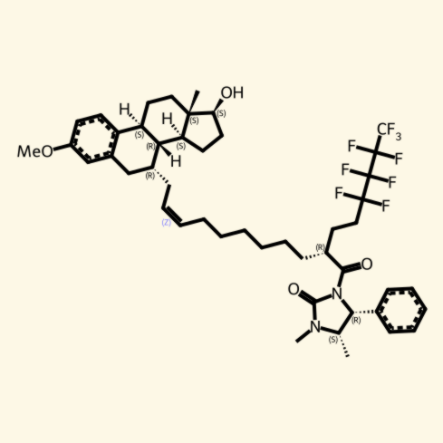 COc1ccc2c(c1)C[C@@H](C/C=C\CCCCCC[C@H](CCC(F)(F)C(F)(F)C(F)(F)C(F)(F)F)C(=O)N1C(=O)N(C)[C@@H](C)[C@H]1c1ccccc1)[C@@H]1[C@@H]2CC[C@]2(C)[C@@H](O)CC[C@@H]12